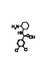 Cl.NC1CCCCC1NC(=O)c1ccc(Cl)c(Cl)c1